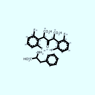 NC(Cc1ccccc1)C(=O)O.O=C(O)C(C(=O)C(C(=O)O)c1c(F)cccc1F)c1c(F)cccc1F